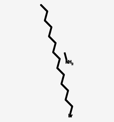 CCCCCCCCCCCCCCBr.CN